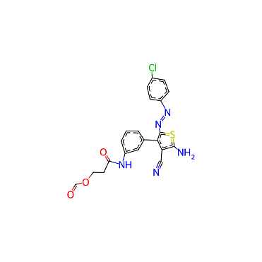 N#Cc1c(N)sc(N=Nc2ccc(Cl)cc2)c1-c1cccc(NC(=O)CCOC=O)c1